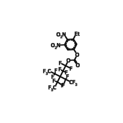 CCc1cc(OC(=O)OC(F)(F)C(F)(F)C(C(F)(F)C(F)(F)F)(C(F)(F)C(F)(F)F)C(F)(F)C(F)(F)F)cc([N+](=O)[O-])c1[N+](=O)[O-]